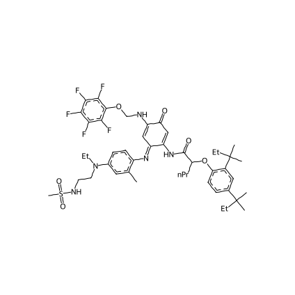 CCCC(Oc1ccc(C(C)(C)CC)cc1C(C)(C)CC)C(=O)NC1=CC(=O)C(NCOc2c(F)c(F)c(F)c(F)c2F)=CC1=Nc1ccc(N(CC)CCNS(C)(=O)=O)cc1C